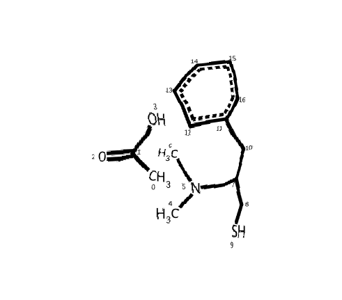 CC(=O)O.CN(C)C(CS)Cc1ccccc1